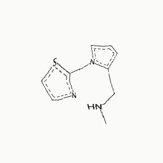 CNCc1cccn1-c1nccs1